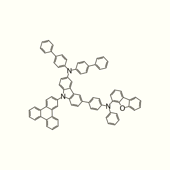 c1ccc(-c2ccc(N(c3ccc(-c4ccccc4)cc3)c3ccc4c(c3)c3cc(-c5ccc(N(c6ccccc6)c6cccc7c6oc6ccccc67)cc5)ccc3n4-c3ccc4c5ccccc5c5ccccc5c4c3)cc2)cc1